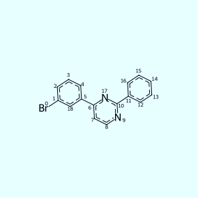 Brc1cccc(-c2ccnc(-c3ccccc3)n2)c1